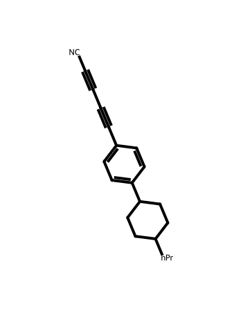 CCCC1CCC(c2ccc(C#CC#CC#N)cc2)CC1